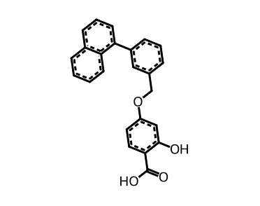 O=C(O)c1ccc(OCc2cccc(-c3cccc4ccccc34)c2)cc1O